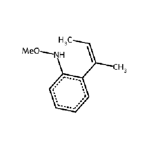 C/C=C(/C)c1ccccc1NOC